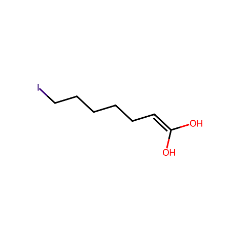 OC(O)=CCCCCCI